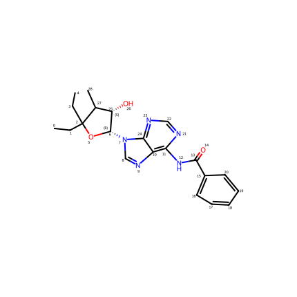 CCC1(CC)O[C@@H](n2cnc3c(NC(=O)c4ccccc4)ncnc32)[C@@H](O)C1C